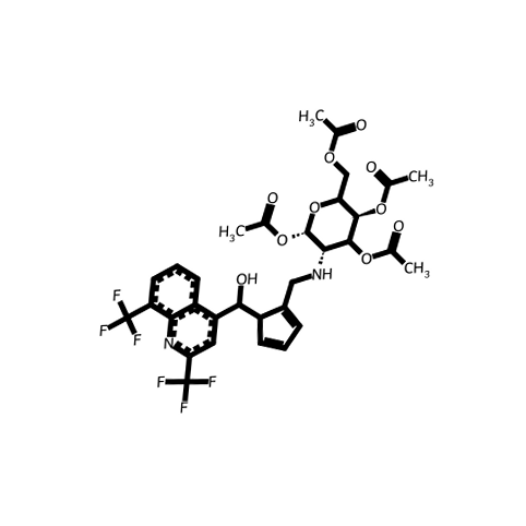 CC(=O)OCC1O[C@@H](OC(C)=O)[C@@H](NCC2=CC=CC2C(O)c2cc(C(F)(F)F)nc3c(C(F)(F)F)cccc23)C(OC(C)=O)[C@@H]1OC(C)=O